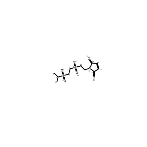 CC(C)S(=O)(=O)CCS(=O)(=O)CCN1C(=O)C=CC1=O